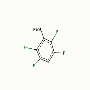 CCCC(C)c1c(F)c(F)cc(F)c1F